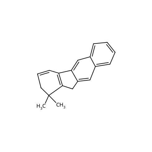 CC1(C)CC=CC2=C1Cc1cc3ccccc3cc12